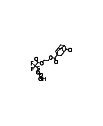 O=C1C2CC3CC1CC(C(=O)OCCOC(=O)C(F)(F)SOOO)(C3)C2